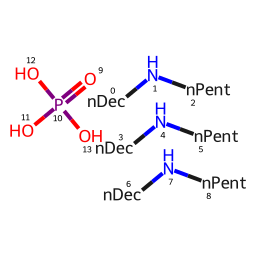 CCCCCCCCCCNCCCCC.CCCCCCCCCCNCCCCC.CCCCCCCCCCNCCCCC.O=P(O)(O)O